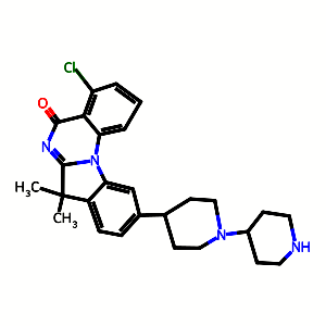 CC1(C)c2ccc(C3CCN(C4CCNCC4)CC3)cc2-n2c1nc(=O)c1c(Cl)cccc12